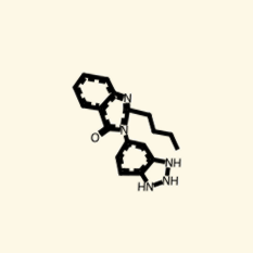 CCCCc1nc2ccccc2c(=O)n1-c1ccc2c(c1)NNN2